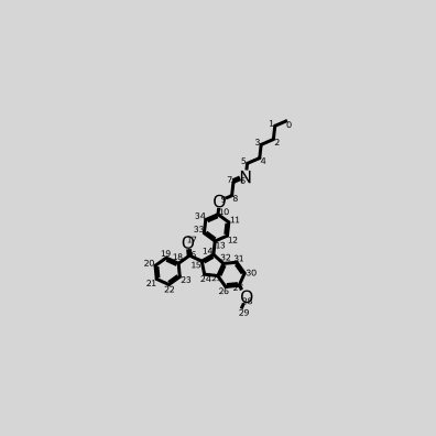 CCCCCCN=CCOc1ccc(C2=C(C(=O)c3ccccc3)Cc3cc(OC)ccc32)cc1